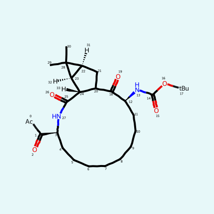 CC(=O)C(=O)[C@@H]1CCCCCCCC[C@H](NC(=O)OC(C)(C)C)C(=O)C2C[C@H]3[C@@H]([C@H]2C(=O)N1)C3(C)C